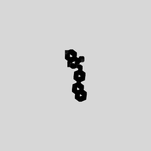 O=c1c2ccncc2ncn1Cc1ccc(-c2ccc3ccccc3c2)cc1